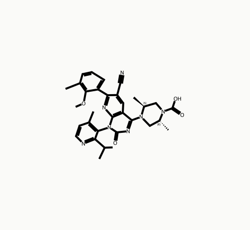 COc1c(C)cccc1-c1nc2c(cc1C#N)c(N1C[C@@H](C)N(C(=O)O)C[C@@H]1C)nc(=O)n2-c1c(C)ccnc1C(C)C